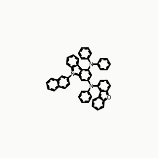 c1ccc(N(c2cc(N(c3ccccc3)c3ccccc3)c3c4ccccc4n(-c4ccc5ccccc5c4)c3c2)c2cccc3oc4ccccc4c23)cc1